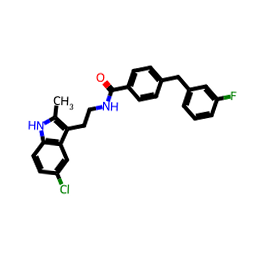 Cc1[nH]c2ccc(Cl)cc2c1CCNC(=O)c1ccc(Cc2cccc(F)c2)cc1